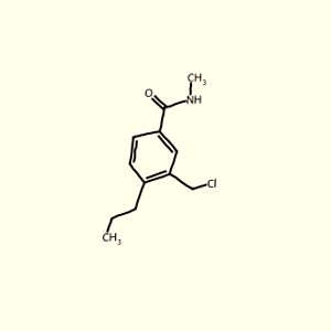 CCCc1ccc(C(=O)NC)cc1CCl